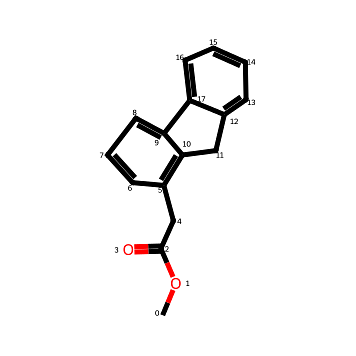 COC(=O)Cc1cccc2c1Cc1ccccc1-2